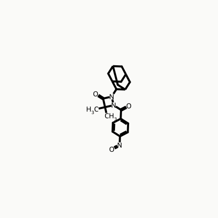 CC1(C)C(=O)N(C2C3CC4CC(C3)CC2C4)N1C(=O)c1ccc(N=O)cc1